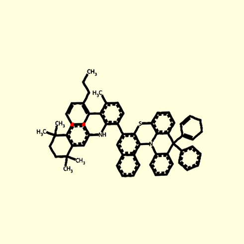 CCCC1=C(c2c(C)ccc(-c3cc4ccccc4c4c3Sc3cccc5c3N4c3ccccc3C5(C3=CCCC=C3)c3ccccc3)c2Nc2ccc3c(c2)C(C)(C)CCC3(C)C)CCC=C1